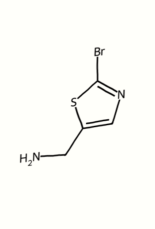 NCc1cnc(Br)s1